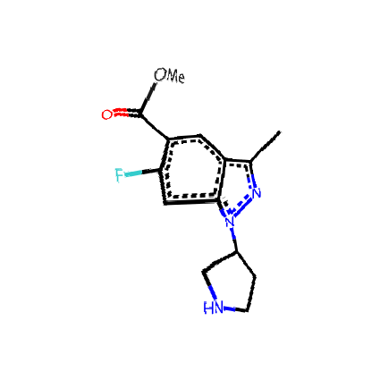 COC(=O)c1cc2c(C)nn(C3CCNC3)c2cc1F